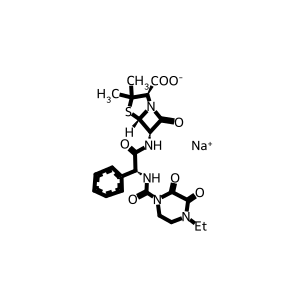 CCN1CCN(C(=O)N[C@@H](C(=O)N[C@H]2C(=O)N3[C@H]2SC(C)(C)[C@H]3C(=O)[O-])c2ccccc2)C(=O)C1=O.[Na+]